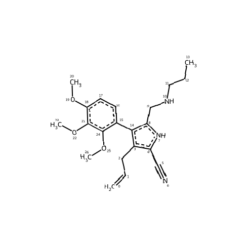 C=CCc1c(C#N)[nH]c(CNCCC)c1-c1ccc(OC)c(OC)c1OC